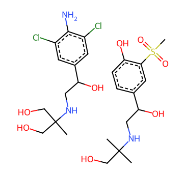 CC(C)(CO)NCC(O)c1ccc(O)c(S(C)(=O)=O)c1.CC(CO)(CO)NCC(O)c1cc(Cl)c(N)c(Cl)c1